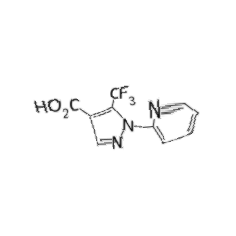 O=C(O)c1cnn(-c2ccccn2)c1C(F)(F)F